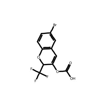 O=C(O)OC1=Cc2cc(Br)ccc2OC1C(F)(F)F